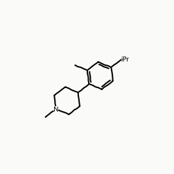 Cc1cc(C(C)C)ccc1C1CCN(C)CC1